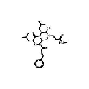 CNC(=O)CCN1CC2N(C(=O)OCc3ccccc3)O[C@H](CC(C)C)C(=O)N2[C@@H](CC(C)C)C1O